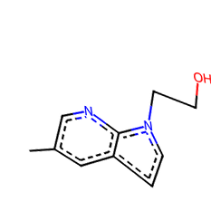 Cc1cnc2c(ccn2CCO)c1